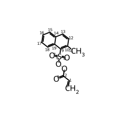 C=CC(=O)OOS(=O)(=O)c1c(C)ccc2ccccc12